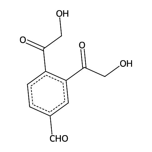 O=Cc1ccc(C(=O)CO)c(C(=O)CO)c1